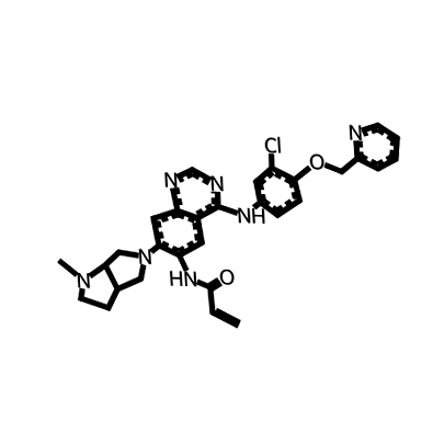 C=CC(=O)Nc1cc2c(Nc3ccc(OCc4ccccn4)c(Cl)c3)ncnc2cc1N1CC2CCN(C)C2C1